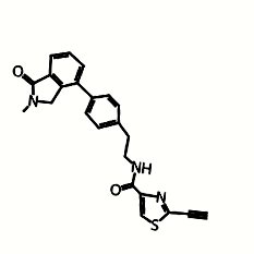 C#Cc1nc(C(=O)NCCc2ccc(-c3cccc4c3CN(C)C4=O)cc2)cs1